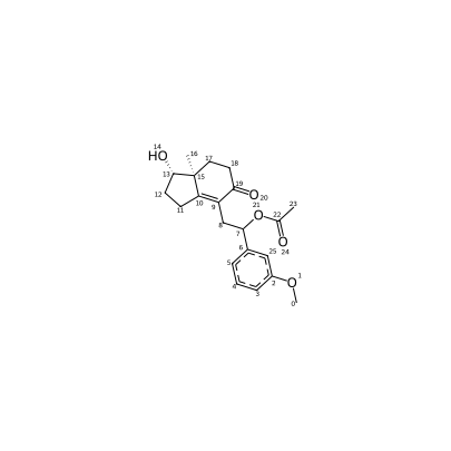 COc1cccc(C(CC2=C3CC[C@H](O)[C@@]3(C)CCC2=O)OC(C)=O)c1